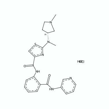 CN1CC[C@@H](N(C)c2nc(C(=O)Nc3ccccc3C(=O)Nc3cccnc3)cs2)C1.Cl.Cl